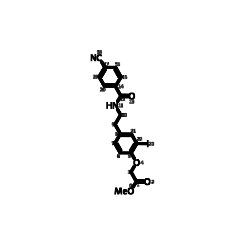 COC(=O)COc1ccc(CCNC(=O)c2ccc(C#N)cc2)cc1I